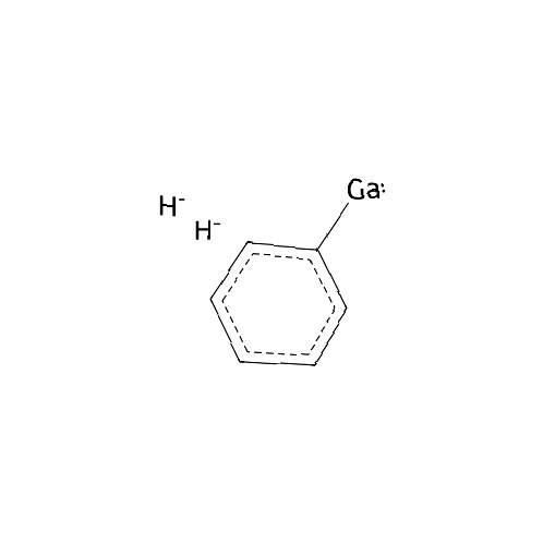 [Ga][c]1ccccc1.[H-].[H-]